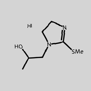 CSC1=NCCN1CC(C)O.I